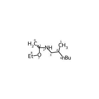 C=C(NCC(C)CCCC)OCC